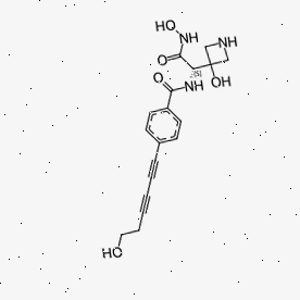 O=C(N[C@H](C(=O)NO)C1(O)CNC1)c1ccc(C#CC#CCCO)cc1